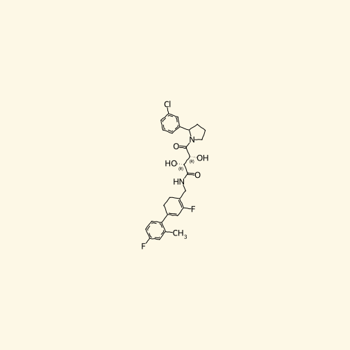 Cc1cc(F)ccc1C1=CC(F)=C(CNC(=O)[C@H](O)[C@@H](O)C(=O)N2CCCC2c2cccc(Cl)c2)CC1